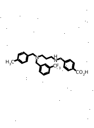 Cc1ccc(CN(CCCNCc2ccc(C(=O)O)cc2)Cc2cccc(C(F)(F)F)c2)cc1